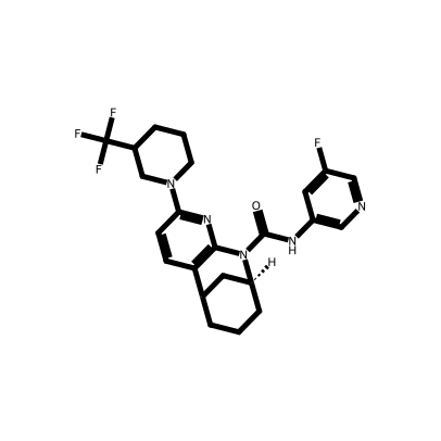 O=C(Nc1cncc(F)c1)N1c2nc(N3CCCC(C(F)(F)F)C3)ccc2C2CCC[C@H]1C2